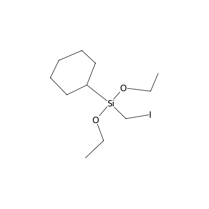 CCO[Si](CI)(OCC)C1CCCCC1